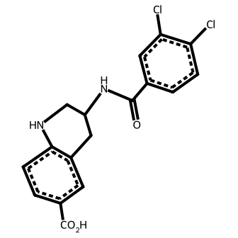 O=C(O)c1ccc2c(c1)CC(NC(=O)c1ccc(Cl)c(Cl)c1)CN2